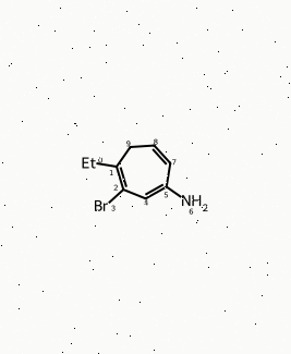 CCC1=C(Br)C=C(N)C=CC1